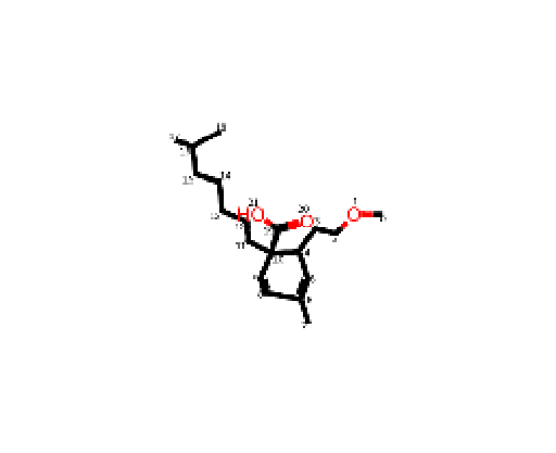 COCCC1C=C(C)C=CC1(CCCCCC(C)C)C(=O)O